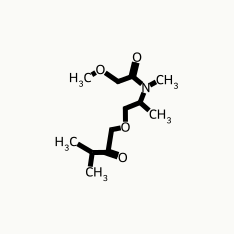 COCC(=O)N(C)C(C)COCC(=O)C(C)C